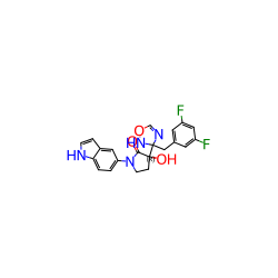 O=C1N(c2ccc3[nH]ccc3c2)CC[C@@]1(O)C1(Cc2cc(F)cc(F)c2)N=CON1